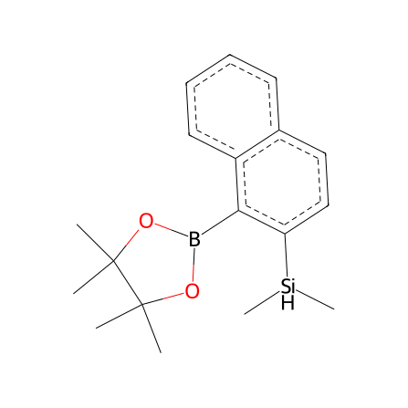 C[SiH](C)c1ccc2ccccc2c1B1OC(C)(C)C(C)(C)O1